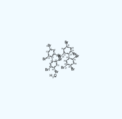 Brc1cc(Br)c(-c2cc(Br)c(Br)cc2Br)c(Br)c1.Brc1cc(Br)c(-c2cc(Br)c(Br)cc2Br)c(Br)c1.O